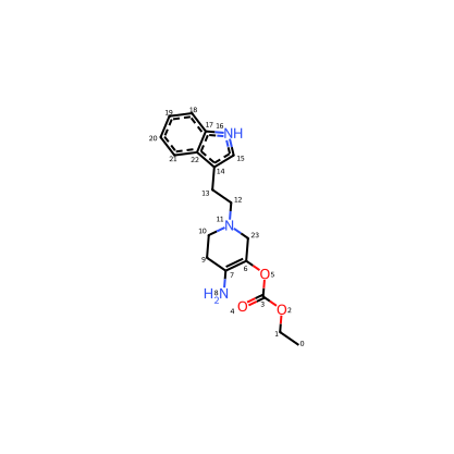 CCOC(=O)OC1=C(N)CCN(CCc2c[nH]c3ccccc23)C1